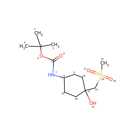 CC(C)(C)OC(=O)NC1CCC(O)(CS(C)(=O)=O)CC1